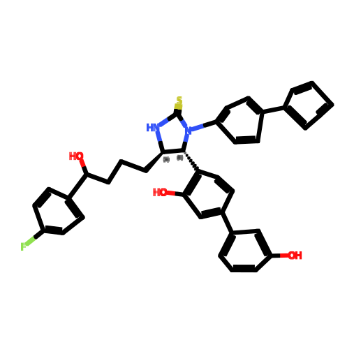 Oc1cccc(-c2ccc([C@@H]3[C@@H](CCCC(O)c4ccc(F)cc4)NC(=S)N3c3ccc(-c4ccccc4)cc3)c(O)c2)c1